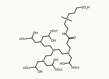 CCCCCCCCC(O)CN(CCC(=O)NCC[N+](C)(C)CCCS(=O)(=O)O)CCN(CCN(CC(O)CCCCCCCC)CC(O)CCCCCCCC)CCN(CC(O)CCCCCCCC)CC(O)CCCCCCCC